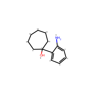 Nc1ccccc1C1(O)CCCCCC1